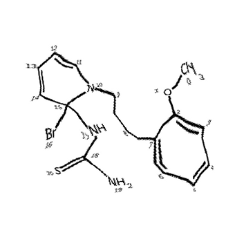 COc1ccccc1CCN1C=CC=CC1(Br)NC(N)=S